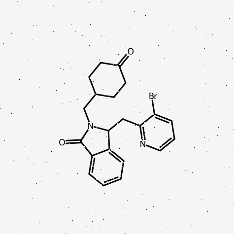 O=C1CCC(CN2C(=O)c3ccccc3C2Cc2ncccc2Br)CC1